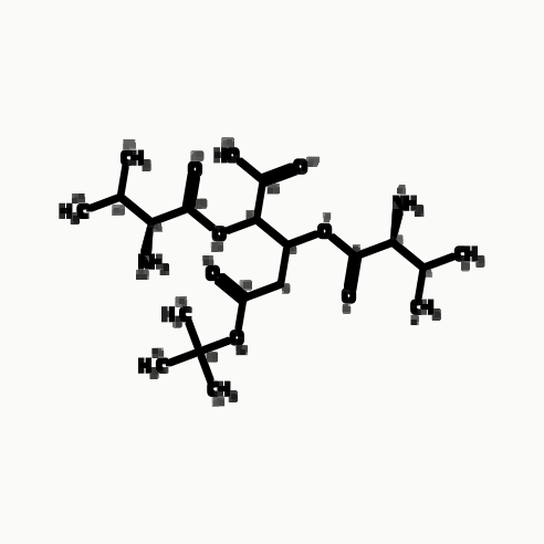 CC(C)[C@H](N)C(=O)OC(CC(=O)OC(C)(C)C)C(OC(=O)[C@@H](N)C(C)C)C(=O)O